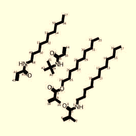 C=C(C)C(=O)NCCCCCCCCCCCC.C=C(C)C(=O)OCCCCCCCCCC.C=CC(=O)NC(C)(C)C.C=CC(=O)NCCCCCCCCCC